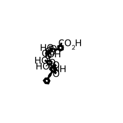 O=C(O)c1cccc(COP(=O)(O)OP(=O)(O)OC[C@H]2O[C@@H](n3cc(C#Cc4ccccc4)c(=O)[nH]c3=O)[C@@H](O)C2O)c1